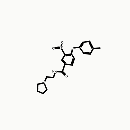 O=C(NCCN1CCCC1)c1ccc(Sc2ccc(F)cc2)c([N+](=O)[O-])c1